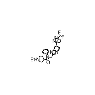 CCN1CCC(C(=O)N(Cc2cn3ccc(-c4nnc(C(F)F)o4)cc3n2)c2ccccc2)CC1